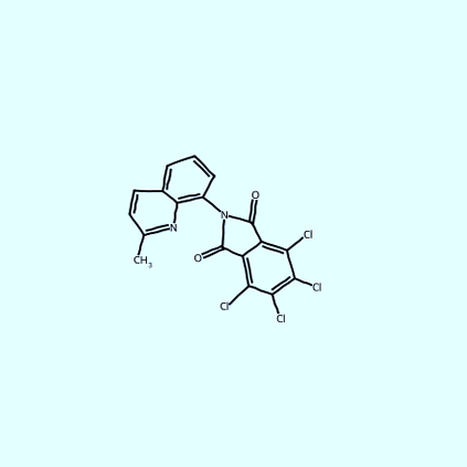 Cc1ccc2cccc(N3C(=O)c4c(Cl)c(Cl)c(Cl)c(Cl)c4C3=O)c2n1